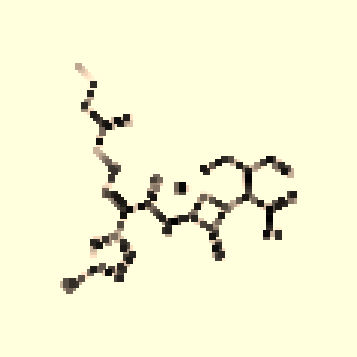 C=CC1=C(C(=O)O)N2C(=O)[C@@H](NC(=O)/C(=N\OCC(=O)OCC)c3csc(N)n3)[C@H]2SC1